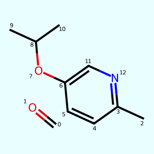 C=O.Cc1ccc(OC(C)C)cn1